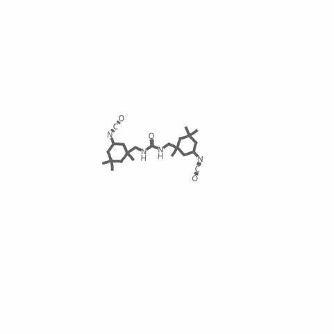 CC1(C)CC(N=C=O)CC(C)(CNC(=O)NCC2(C)CC(N=C=O)CC(C)(C)C2)C1